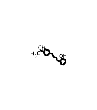 CC(C)c1ccc(CCCCc2ccccc2O)cc1